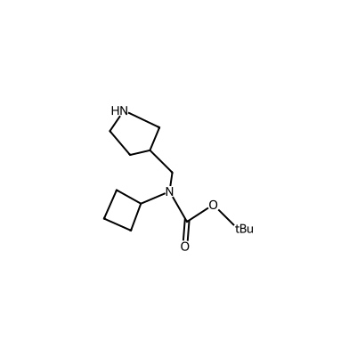 CC(C)(C)OC(=O)N(CC1CCNC1)C1CCC1